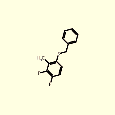 Cc1c(SCc2ccccc2)ccc(F)c1F